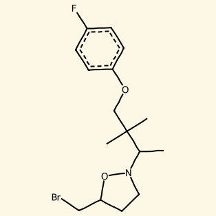 CC(N1CCC(CBr)O1)C(C)(C)COc1ccc(F)cc1